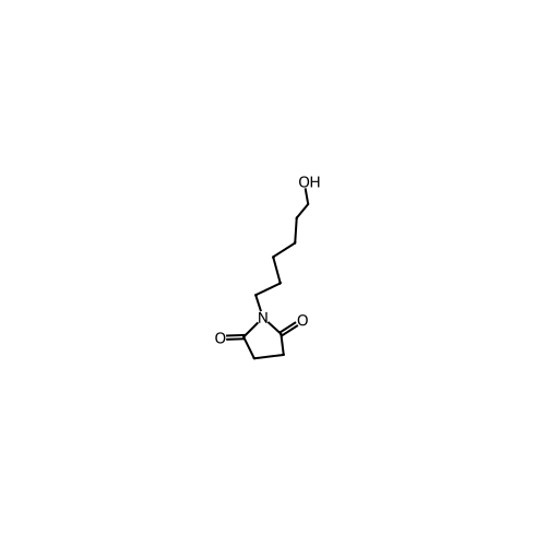 O=C1CCC(=O)N1CCCCCCO